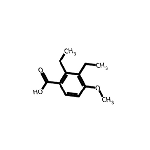 CCc1c(OC)ccc(C(=O)O)c1CC